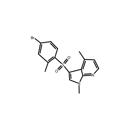 Cc1cc(Br)ccc1S(=O)(=O)c1cn(C)c2nccc(C)c12